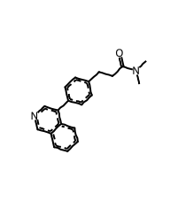 CN(C)C(=O)CCc1ccc(-c2cncc3ccccc23)cc1